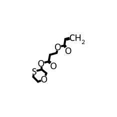 C=CC(=O)OCCC(=O)OC1COCCS1